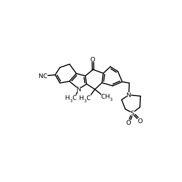 Cn1c2c(c3c1C(C)(C)c1cc(CN4CCS(=O)(=O)CC4)ccc1C3=O)CCC(C#N)=C2